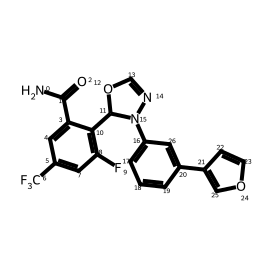 NC(=O)c1cc(C(F)(F)F)cc(F)c1C1OC=NN1c1cccc(-c2ccoc2)c1